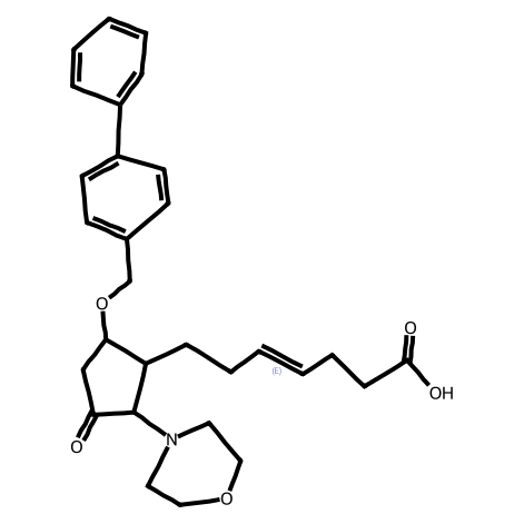 O=C(O)CC/C=C/CCC1C(OCc2ccc(-c3ccccc3)cc2)CC(=O)C1N1CCOCC1